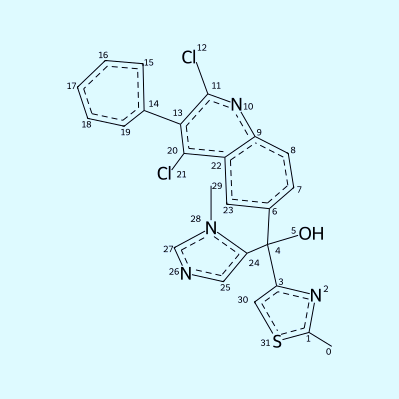 Cc1nc(C(O)(c2ccc3nc(Cl)c(-c4ccccc4)c(Cl)c3c2)c2cncn2C)cs1